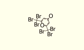 O=c1cc(C(Br)(Br)Br)oc(C(Br)(Br)Br)c1